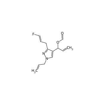 C=CCn1cc(C(C=C)OC=O)c(CC=CF)n1